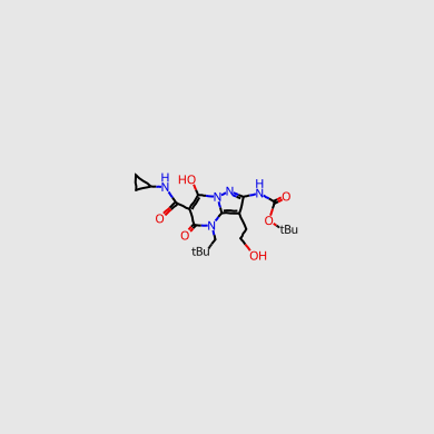 CC(C)(C)Cn1c(=O)c(C(=O)NC2CC2)c(O)n2nc(NC(=O)OC(C)(C)C)c(CCO)c12